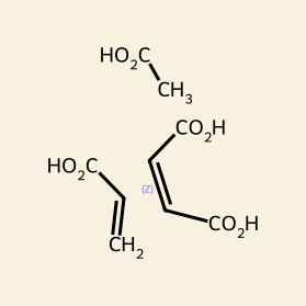 C=CC(=O)O.CC(=O)O.O=C(O)/C=C\C(=O)O